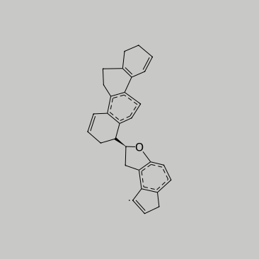 [C]1=CCc2ccc3c(c21)C[C@@H](C1CC=Cc2c1ccc1c2CCC2=C1C=CCC2)O3